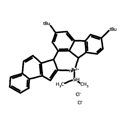 CCCC1=Cc2c(ccc3ccccc23)C1c1cc(C(C)(C)C)cc2c1[CH]([Zr+2][SiH](C)C)c1ccc(C(C)(C)C)cc1-2.[Cl-].[Cl-]